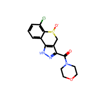 O=C(c1n[nH]c2c1C[S+]([O-])c1c(Cl)cccc1-2)N1CCOCC1